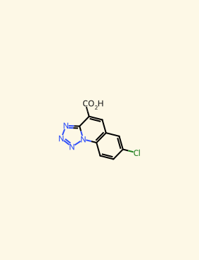 O=C(O)c1cc2cc(Cl)ccc2n2nnnc12